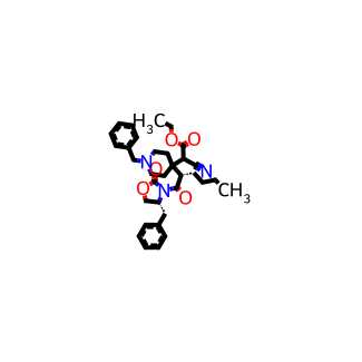 CCCC[C@H](C(=O)N1C(=O)OC[C@H]1Cc1ccccc1)C1(C(C#N)C(=O)OCC)CCN(Cc2ccccc2)CC1